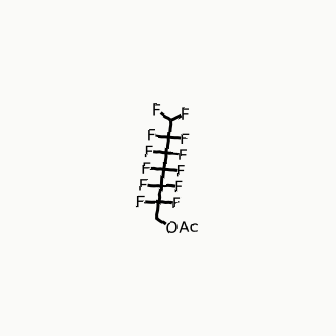 CC(=O)OCC(F)(F)C(F)(F)C(F)(F)C(F)(F)C(F)(F)C(F)F